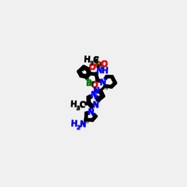 Cc1cn2nc([C@@H]3CCCCN3C(=O)C(NS(C)(=O)=O)c3ccccc3Br)cc2nc1N1CC[C@H](N)C1